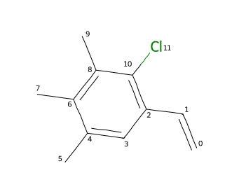 C=Cc1cc(C)c(C)c(C)c1Cl